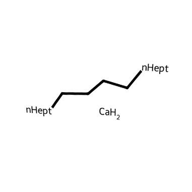 C[CH]CCCCCCCCCCCCCCCC.[CaH2]